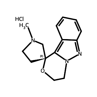 CN1CC[C@]2(C1)OCCn1nc3ccccc3c12.Cl